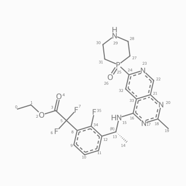 CCOC(=O)C(F)(F)c1cccc([C@@H](C)Nc2nc(C)nc3cnc(P4(=O)CCNCC4)cc23)c1F